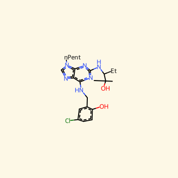 CCCCCn1cnc2c(NCc3cc(Cl)ccc3O)nc(NC(CC)C(C)(C)O)nc21